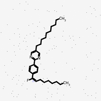 CCCCCCC/C=C(/F)c1ccc(-c2ncc(CCCCCCCCCC)cn2)cc1